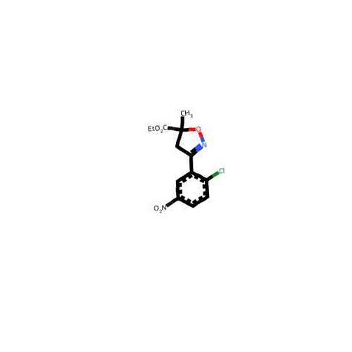 CCOC(=O)C1(C)CC(c2cc([N+](=O)[O-])ccc2Cl)=NO1